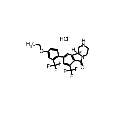 CCOc1ccc(-c2cc3c(c(C(F)(F)F)c2)C(=O)N2CCNC[C@@H]32)c(C(F)(F)F)c1.Cl